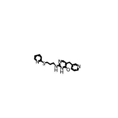 O=c1[nH]c(NCCCSc2ccccn2)ncc1Cc1cccnc1